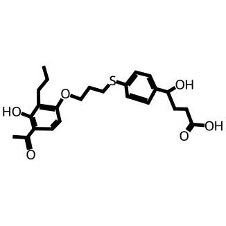 CCCc1c(OCCCSc2ccc(C(O)CCC(=O)O)cc2)ccc(C(C)=O)c1O